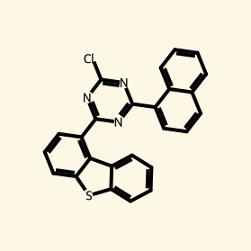 Clc1nc(-c2cccc3ccccc23)nc(-c2cccc3sc4ccccc4c23)n1